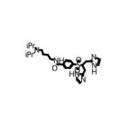 CC(C)N(CCCCNC(=O)c1ccc(S(=O)(=O)C(Cc2ncc[nH]2)Cc2ncc[nH]2)cc1)C(C)C